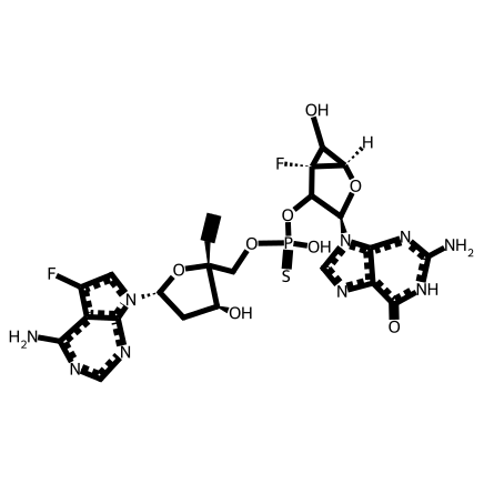 C#C[C@]1(COP(O)(=S)OC2[C@H](n3cnc4c(=O)[nH]c(N)nc43)O[C@@H]3C(O)[C@]23F)O[C@@H](n2cc(F)c3c(N)ncnc32)C[C@@H]1O